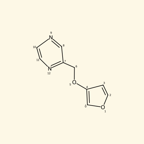 [c]1occc1OCc1cnccn1